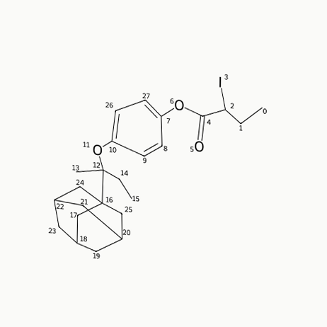 CCC(I)C(=O)Oc1ccc(OC(C)(CC)C23CC4CC(CC(C4)C2)C3)cc1